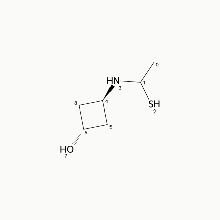 CC(S)N[C@H]1C[C@H](O)C1